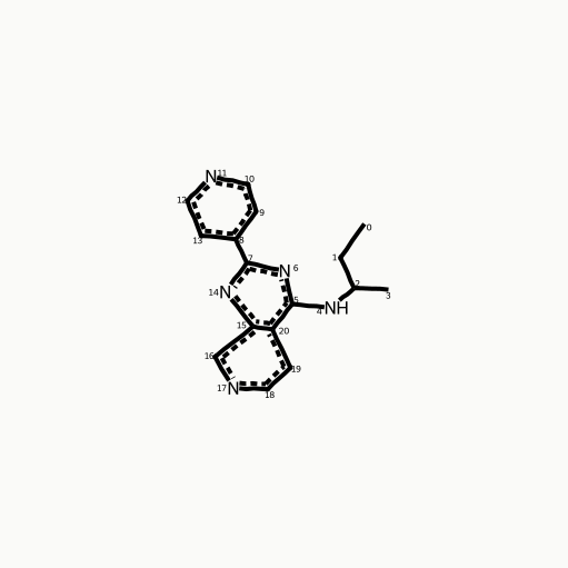 CCC(C)Nc1nc(-c2ccncc2)nc2cnccc12